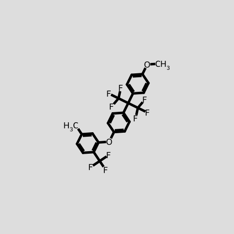 COc1ccc(C(c2ccc(Oc3cc(C)ccc3C(F)(F)F)cc2)(C(F)(F)F)C(F)(F)F)cc1